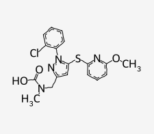 COc1cccc(Sc2cc(CN(C)C(=O)O)nn2-c2ccccc2Cl)n1